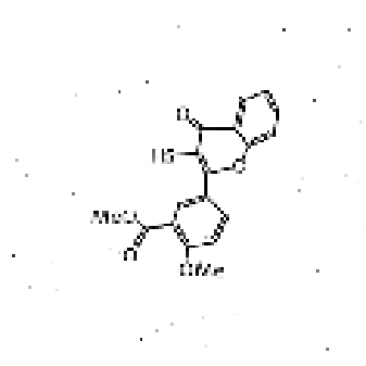 COC(=O)c1cc(-c2oc3ccccc3c(=O)c2S)ccc1OC